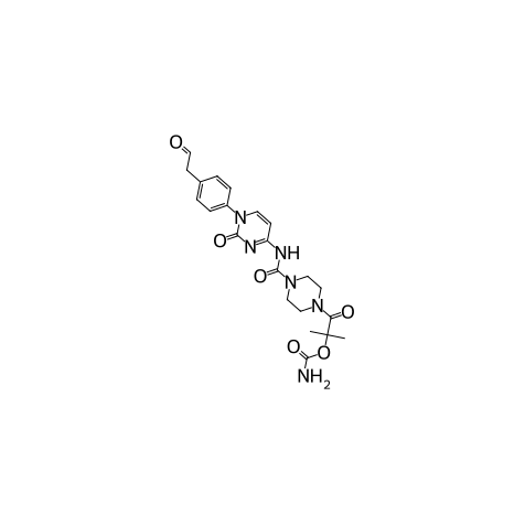 CC(C)(OC(N)=O)C(=O)N1CCN(C(=O)Nc2ccn(-c3ccc(CC=O)cc3)c(=O)n2)CC1